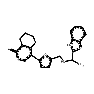 CC(NCc1ccc(-c2c[nH]c(=O)c3c2CCCC3)o1)c1nc2ccccc2[nH]1